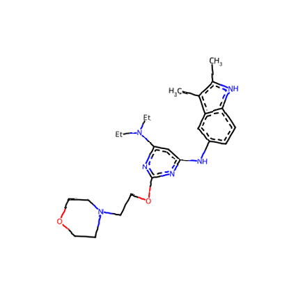 CCN(CC)c1cc(Nc2ccc3[nH]c(C)c(C)c3c2)nc(OCCN2CCOCC2)n1